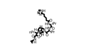 CCCC(C(=O)C(=O)NC1CC1)N1CC[C@H]2CN(C(=O)[C@@H](NC(=O)[C@H](NC(=O)CCCCc3nnc[nH]3)C(C)C)C(C)C)[C@H](C1=O)[C@H]2C